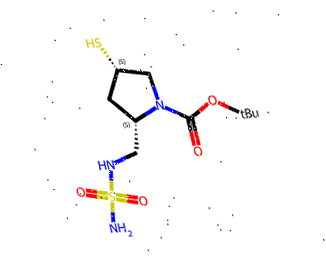 CC(C)(C)OC(=O)N1C[C@@H](S)C[C@H]1CNS(N)(=O)=O